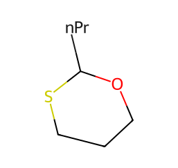 CCCC1OCCCS1